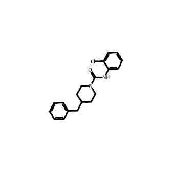 O=C(Nc1ccccc1Cl)N1CCC(Cc2ccccc2)CC1